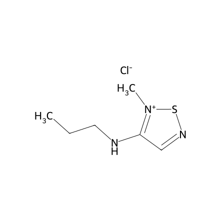 CCCNc1cns[n+]1C.[Cl-]